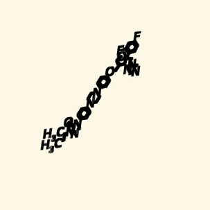 CC[C@H](C)n1ncn(-c2ccc(N3CCN(c4ccc(OCC5COC(Cn6cncn6)(c6ccc(F)cc6F)C5)cc4)CC3)cc2)c1=O